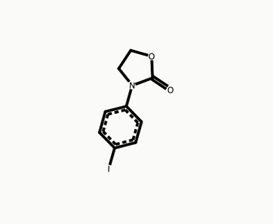 O=C1OCCN1c1ccc(I)cc1